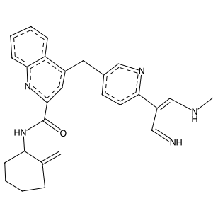 C=C1CCCCC1NC(=O)c1cc(Cc2ccc(/C(C=N)=C/NC)nc2)c2ccccc2n1